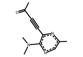 CC(=O)C#Cc1nc(C)cnc1N(C)C